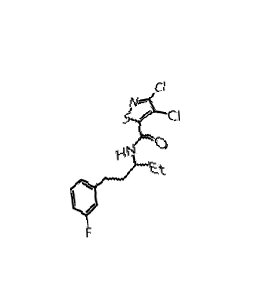 CCC(CCc1cccc(F)c1)NC(=O)c1snc(Cl)c1Cl